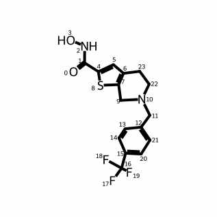 O=C(NO)c1cc2c(s1)CN(Cc1ccc(C(F)(F)F)cc1)CC2